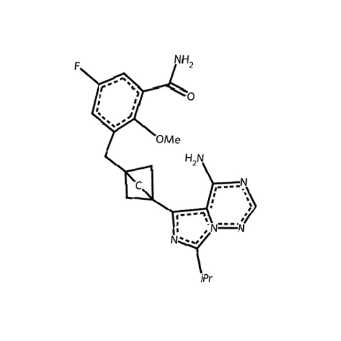 COc1c(CC23CC(c4nc(C(C)C)n5ncnc(N)c45)(C2)C3)cc(F)cc1C(N)=O